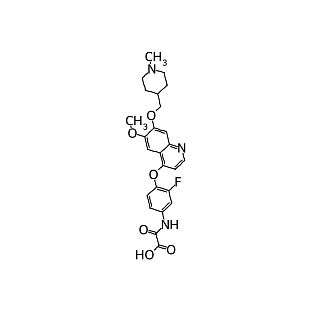 COc1cc2c(Oc3ccc(NC(=O)C(=O)O)cc3F)ccnc2cc1OCC1CCN(C)CC1